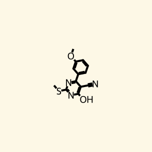 COc1cccc(-c2nc(SC)nc(O)c2C#N)c1